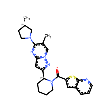 Cc1cn2nc([C@@H]3CCCCN3C(=O)c3cc4cccnc4s3)cc2nc1N1CC[C@H](C)C1